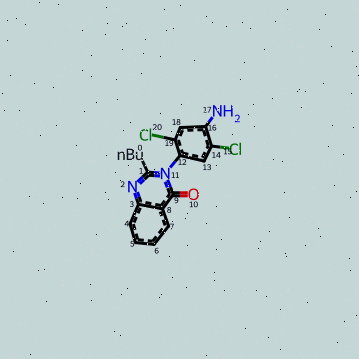 CCCCc1nc2ccccc2c(=O)n1-c1cc(Cl)c(N)cc1Cl